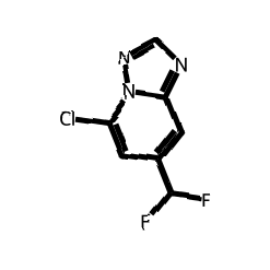 FC(F)c1cc(Cl)n2ncnc2c1